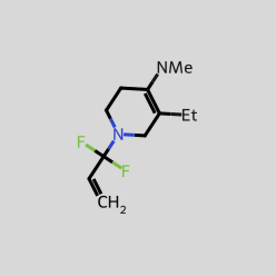 C=CC(F)(F)N1CCC(NC)=C(CC)C1